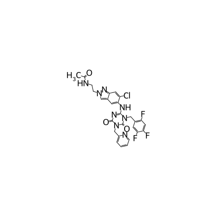 CC(=O)NCCn1cc2cc(Nc3nc(=O)n(Cc4ccccn4)c(=O)n3Cc3cc(F)c(F)cc3F)c(Cl)cc2n1